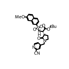 COc1ccc2ccc(S(=O)(=O)NC(C(=O)OC(C)(C)C)[C@@H]3CCN(Cc4ccnc(C#N)c4)C3=O)cc2c1